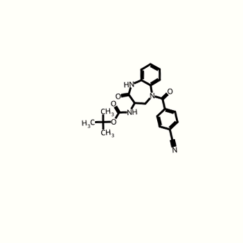 CC(C)(C)OC(=O)NC1CN(C(=O)c2ccc(C#N)cc2)c2ccccc2NC1=O